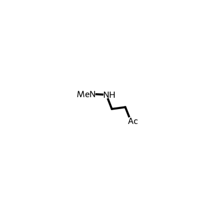 CNNCCC(C)=O